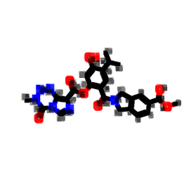 COC(=O)c1ccc2c(c1)CN(C(=O)c1cc(C(C)C)c(O)cc1OC(=O)c1ncn3c(=O)n(C)nnc13)C2